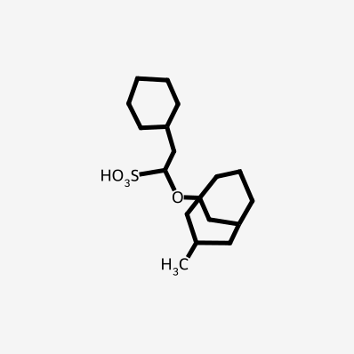 CC1CC2CCCC(OC(CC3CCCCC3)S(=O)(=O)O)(C1)C2